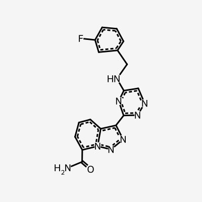 NC(=O)c1cccc2c(-c3nncc(NCc4cccc(F)c4)n3)nnn12